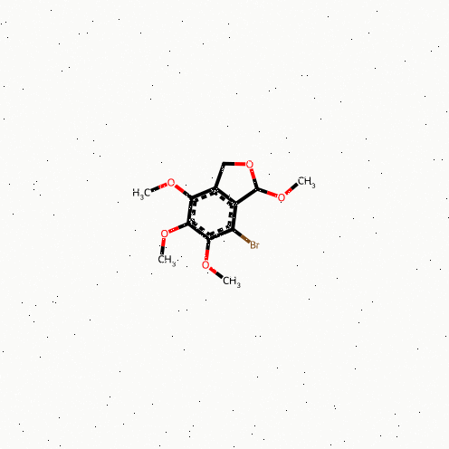 COc1c(Br)c2c(c(OC)c1OC)COC2OC